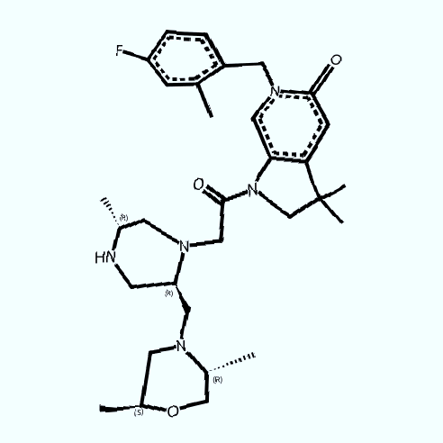 Cc1cc(F)ccc1Cn1cc2c(cc1=O)C(C)(C)CN2C(=O)CN1C[C@@H](C)NC[C@@H]1CN1C[C@H](C)OC[C@H]1C